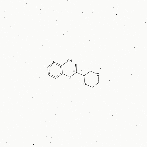 C[C@H](Oc1cccnc1C#N)C1COCCO1